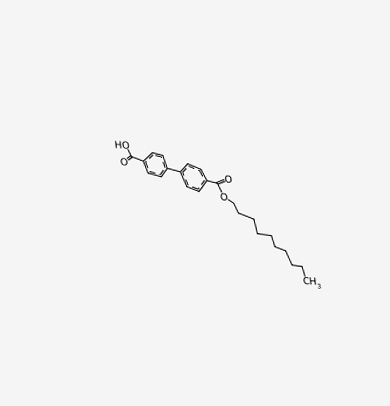 CCCCCCCCCCOC(=O)c1ccc(-c2ccc(C(=O)O)cc2)cc1